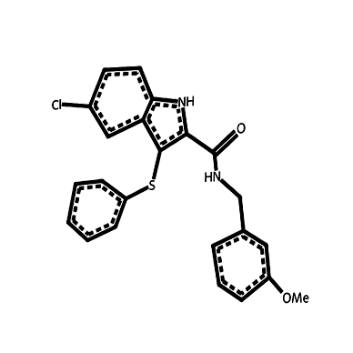 COc1cccc(CNC(=O)c2[nH]c3ccc(Cl)cc3c2Sc2ccccc2)c1